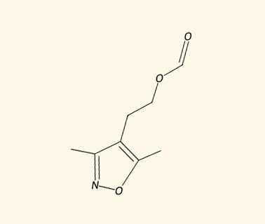 Cc1noc(C)c1CCOC=O